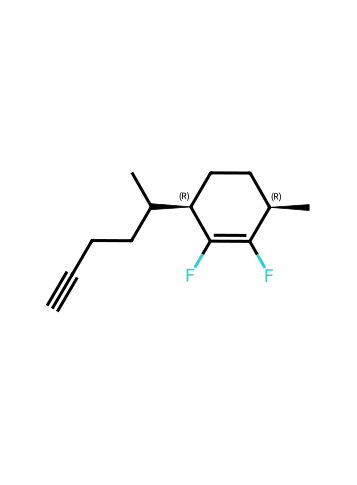 C#CCCC(C)[C@H]1CC[C@@H](C)C(F)=C1F